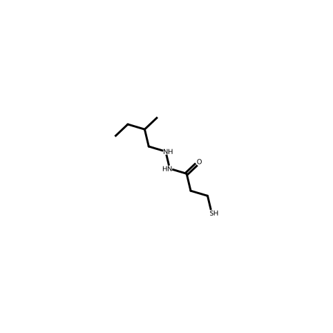 CCC(C)CNNC(=O)CCS